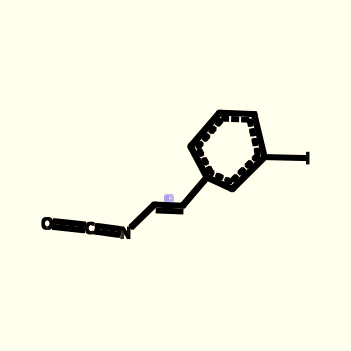 O=C=N/C=C/c1cccc(I)c1